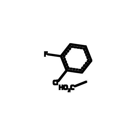 CC(=O)O.Fc1ccccc1Cl